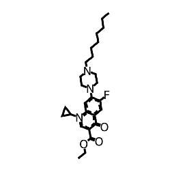 CCCCCCCCN1CCN(c2cc3c(cc2F)c(=O)c(C(=O)OCC)cn3C2CC2)CC1